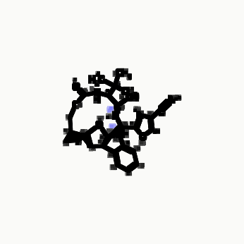 CC(C)(C)C1NC(=O)CCc2ccc3c(c2)C2(/C=C(c4nc(C#N)co4)/N=C/1O)c1ccccc1NC2O3